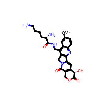 COc1ccc2nc3c(c(CNC(=O)[C@@H](N)CCCCN)c2c1)Cn1c-3cc2c(c1=O)COC(=O)[C@H]2O